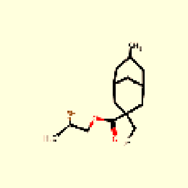 CCC1(C(=O)OC[C@@H](C)S)CC2CC(C)CC(C2)C1